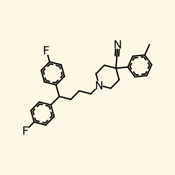 Cc1cccc(C2(C#N)CCN(CCCC(c3ccc(F)cc3)c3ccc(F)cc3)CC2)c1